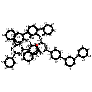 c1ccc(-c2cccc(-c3ccc(-c4nc(-c5ccccc5)nc(-n5c6ccccc6c6ccc7c8ccccc8n(-c8ccccc8-c8nc(-c9ccccc9)nc(-c9ccccc9)n8)c7c65)n4)cc3)c2)cc1